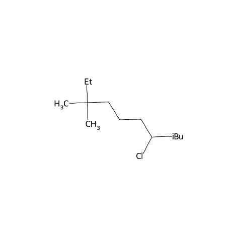 CCC(C)C(Cl)CCCC(C)(C)CC